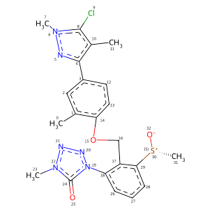 Cc1cc(-c2nn(C)c(Cl)c2C)ccc1OCc1c(-n2nnn(C)c2=O)cccc1[S@@+](C)[O-]